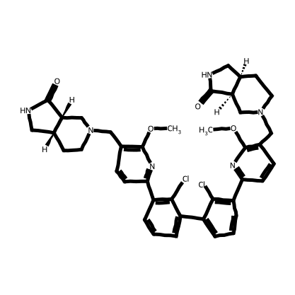 COc1nc(-c2cccc(-c3cccc(-c4ccc(CN5CC[C@@H]6CNC(=O)[C@@H]6C5)c(OC)n4)c3Cl)c2Cl)ccc1CN1CC[C@@H]2CNC(=O)[C@@H]2C1